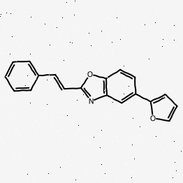 C(=Cc1nc2cc(-c3ccco3)ccc2o1)c1ccccc1